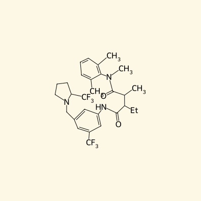 CCC(C(=O)Nc1cc(CN2CCCC2C(F)(F)F)cc(C(F)(F)F)c1)C(C)C(=O)N(C)c1c(C)cccc1C